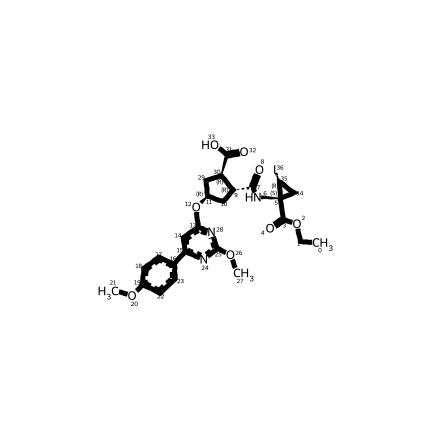 CCOC(=O)[C@@]1(NC(=O)[C@@H]2C[C@@H](Oc3cc(-c4ccc(OC)cc4)nc(OC)n3)C[C@H]2C(=O)O)C[C@H]1I